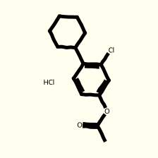 CC(=O)Oc1ccc(C2CCCCC2)c(Cl)c1.Cl